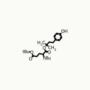 CCCCC(CCC(=O)OC(C)(C)C)C(=O)OC(C)(C)CCc1ccc(O)cc1